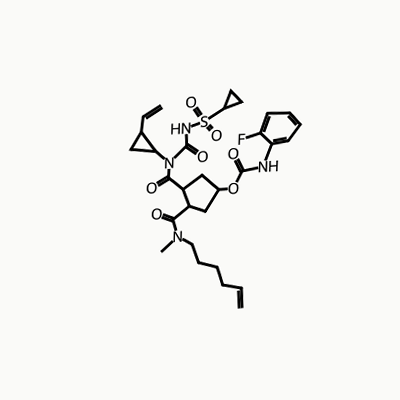 C=CCCCCN(C)C(=O)C1CC(OC(=O)Nc2ccccc2F)CC1C(=O)N(C(=O)NS(=O)(=O)C1CC1)C1CC1C=C